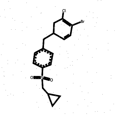 O=S(=O)(CC1CC1)c1ccc(CC2C=CC(Br)=C(Cl)C2)cc1